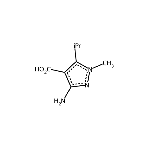 CC(C)c1c(C(=O)O)c(N)nn1C